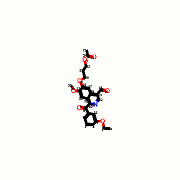 CCOc1cccc(C(=O)c2ncc(C=O)c3cc(OCCCOC(C)=O)c(OC)cc23)c1